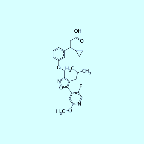 COc1cc(-c2onc(COc3cccc(C(CC(=O)O)C4CC4)c3)c2CC(C)C)c(F)cn1